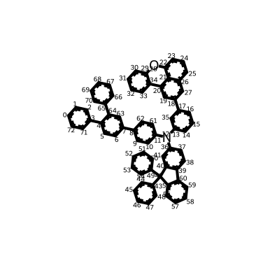 c1ccc(-c2ccc(-c3ccc(N(c4cccc(-c5cc6c7c(cccc7c5)Oc5ccccc5-6)c4)c4ccc5c(c4)C(c4ccccc4)(c4ccccc4)c4ccccc4-5)cc3)cc2-c2ccccc2)cc1